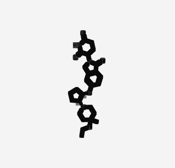 CCOC1(C)CCN([C@@H]2CCC[C@H]2Oc2ccc3c(c2)CN(C2CCC(=O)NC2=O)C3=O)CC1